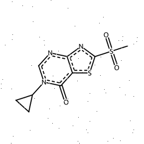 CS(=O)(=O)c1nc2ncn(C3CC3)c(=O)c2s1